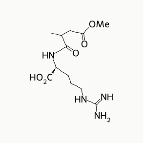 COC(=O)CC(C)C(=O)N[C@@H](CCCNC(=N)N)C(=O)O